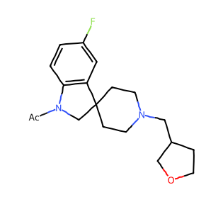 CC(=O)N1CC2(CCN(CC3CCOC3)CC2)c2cc(F)ccc21